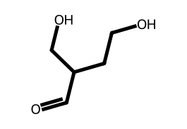 O=CC(CO)CCO